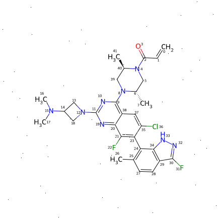 C=CC(=O)N1C[C@H](C)N(c2nc(N3CC(N(C)C)C3)nc3c(F)c(-c4c(C)ccc5c(F)n[nH]c45)c(Cl)cc23)C[C@H]1C